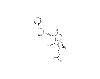 COC12CCC(O)C(C#CC(O)COc3ccccc3)C1C(C)C2=CCCC(=O)O